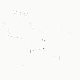 Cc1c(CO)c2[c]cccc2n1C